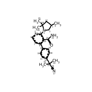 CC1CN(c2nccc(-c3ccc(C(C)(C)C#N)cc3)c2C(N)=O)C(C)(C)C1